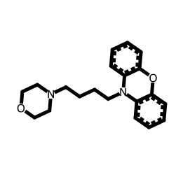 c1ccc2c(c1)Oc1ccccc1N2CCCCN1CCOCC1